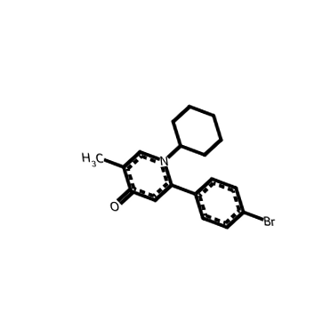 Cc1cn(C2CCCCC2)c(-c2ccc(Br)cc2)cc1=O